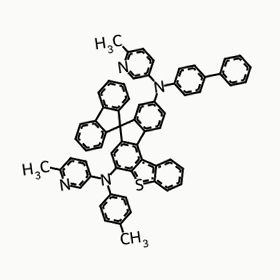 Cc1ccc(N(c2ccc(C)nc2)c2cc3c(c4c2sc2ccccc24)-c2ccc(N(c4ccc(-c5ccccc5)cc4)c4ccc(C)nc4)cc2C32c3ccccc3-c3ccccc32)cc1